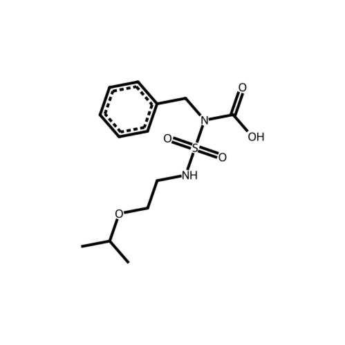 CC(C)OCCNS(=O)(=O)N(Cc1ccccc1)C(=O)O